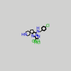 Cl.Cl.Clc1ccc(CNc2c3c(nc4c(Cl)cnn24)C2(CCNCC2)CC3)cc1